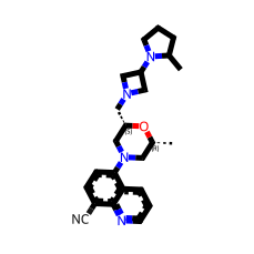 CC1CCCN1C1CN(C[C@H]2CN(c3ccc(C#N)c4ncccc34)C[C@@H](C)O2)C1